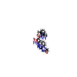 COc1cc(C(=O)NC2C[C@H]3CCC[C@@H](C2)N3C)ccc1Nc1ncc2c(n1)N(C1CCCCC1)CC1(CC1)C(=O)N2C